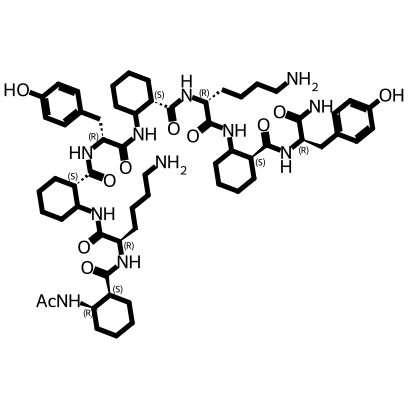 CC(=O)N[C@@H]1CCCC[C@@H]1C(=O)N[C@H](CCCCN)C(=O)NC1CCCC[C@@H]1C(=O)N[C@H](Cc1ccc(O)cc1)C(=O)NC1CCCC[C@@H]1C(=O)N[C@H](CCCCN)C(=O)NC1CCCC[C@@H]1C(=O)N[C@H](Cc1ccc(O)cc1)C(N)=O